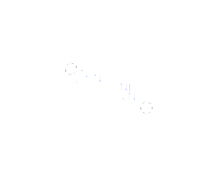 CC(C)Oc1ccccc1N1CCN(C2CCC(NC(=O)NCc3ccccc3)CC2)CC1